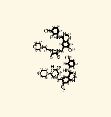 COc1cc2ncnc(Nc3cccc(Cl)c3F)c2cc1CN(CCN1CCOCC1)[C@@H](C)C(=O)O.COc1cc2ncnc(Nc3cccc(Cl)c3F)c2cc1CNC(=O)C(C)=NCCN1CCOCC1